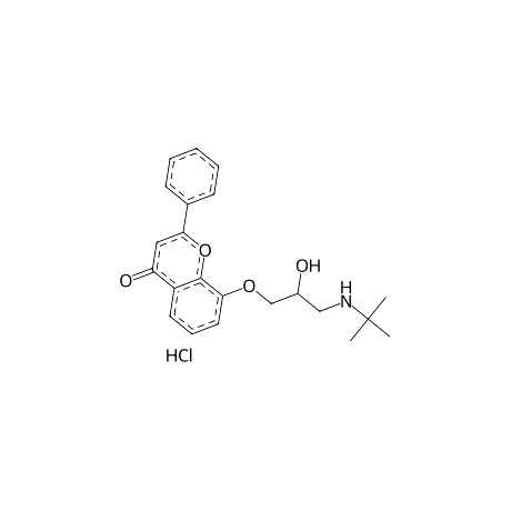 CC(C)(C)NCC(O)COc1cccc2c(=O)cc(-c3ccccc3)oc12.Cl